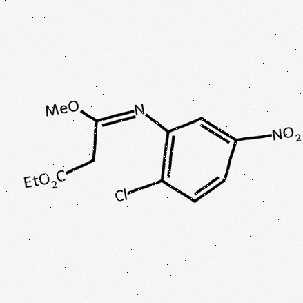 CCOC(=O)C/C(=N\c1cc([N+](=O)[O-])ccc1Cl)OC